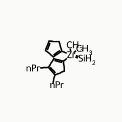 CCCC1=C(CCC)C[C]([Zr]([CH3])([CH3])(=[SiH2])[C]2=CC=CC2)=C1